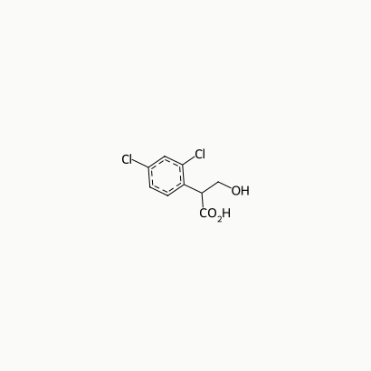 O=C(O)C(CO)c1ccc(Cl)cc1Cl